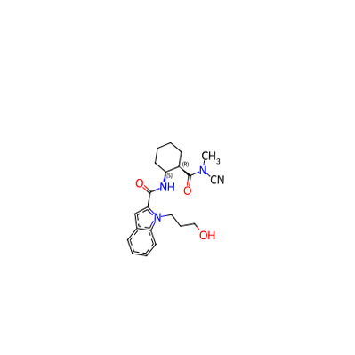 CN(C#N)C(=O)[C@@H]1CCCC[C@@H]1NC(=O)c1cc2ccccc2n1CCCO